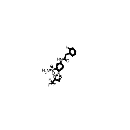 NS(=O)(=O)c1cc(NC(=O)Cc2ccccc2F)ccc1-n1ncc(C(F)(F)F)n1